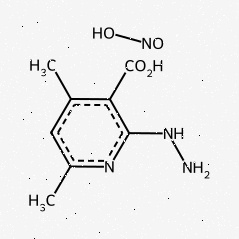 Cc1cc(C)c(C(=O)O)c(NN)n1.O=NO